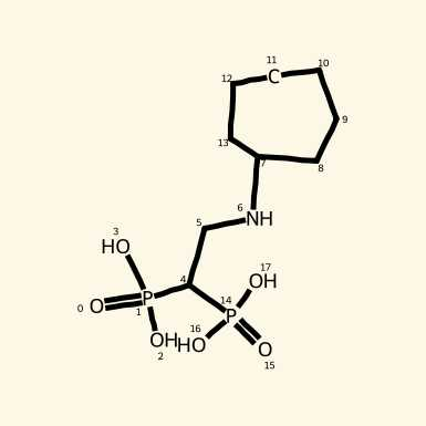 O=P(O)(O)C(CNC1CCCCCC1)P(=O)(O)O